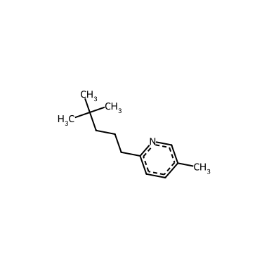 Cc1ccc(CCCC(C)(C)C)nc1